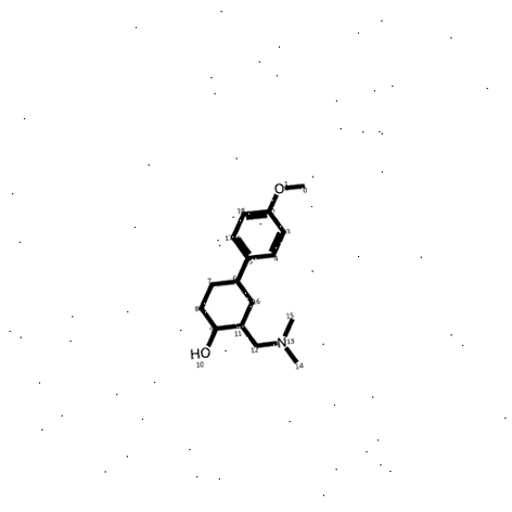 COc1ccc(C2CCC(O)C(CN(C)C)C2)cc1